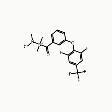 CN(Cl)[N+](C)(C)C(=O)c1cccc(Oc2c(F)cc(C(F)(F)F)cc2F)c1